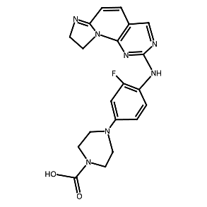 O=C(O)N1CCN(c2ccc(Nc3ncc4c(n3)N3CCN=C3C=C4)c(F)c2)CC1